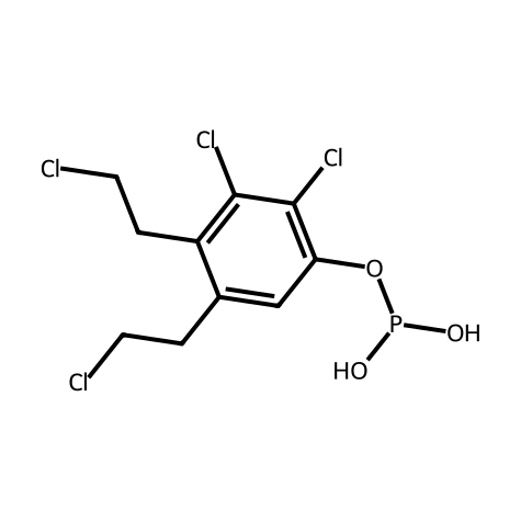 OP(O)Oc1cc(CCCl)c(CCCl)c(Cl)c1Cl